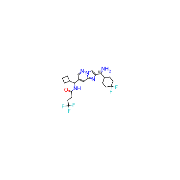 N[C@H](c1cn2ncc(C(NC(=O)CCC(F)(F)F)C3CCC3)cc2n1)C1CCC(F)(F)CC1